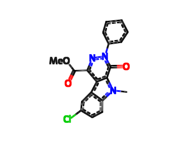 COC(=O)c1nn(-c2ccccc2)c(=O)c2c1c1cc(Cl)ccc1n2C